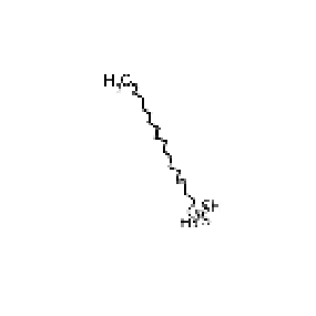 CCCCCCCCCCCCCCCCCCOP(=S)(S)S